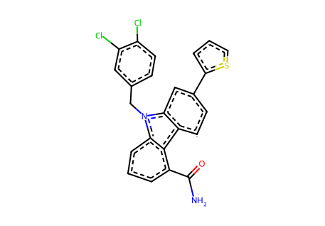 NC(=O)c1cccc2c1c1[c]cc(-c3cccs3)cc1n2Cc1ccc(Cl)c(Cl)c1